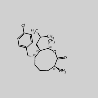 CC(C)C[C@@H]1[C@@H](Cc2ccc(Cl)cc2)CCC[C@H](N)C(=O)O[C@H]1C